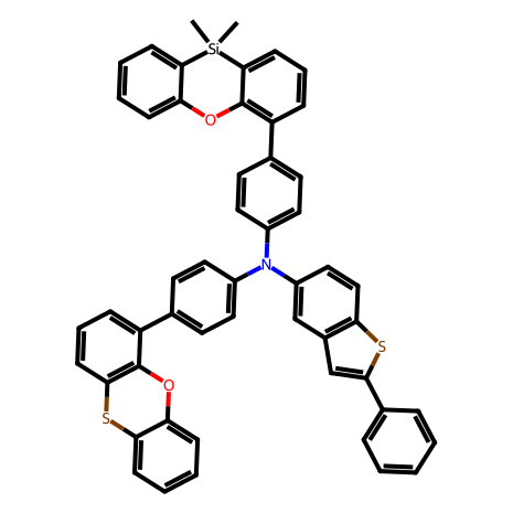 C[Si]1(C)c2ccccc2Oc2c(-c3ccc(N(c4ccc(-c5cccc6c5Oc5ccccc5S6)cc4)c4ccc5sc(-c6ccccc6)cc5c4)cc3)cccc21